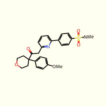 CNS(=O)(=O)c1ccc(-c2cccc(CC(=O)C3(c4ccc(OC)cc4)CCOCC3)n2)cc1